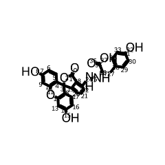 O=C1OC2(c3ccc(O)cc3Oc3cc(O)ccc32)c2cccc(NN[C@@H](Cc3ccc(O)cc3)C(=O)O)c21